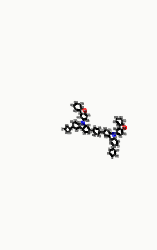 c1ccc(-c2ccc3c(c2)c2cc(-c4ccc(-c5ccc6c7cc(C8CCCC8)ccc7n(-c7ccc8oc9ccccc9c8c7)c6c5)cc4)ccc2n3-c2ccc3oc4ccccc4c3c2)cc1